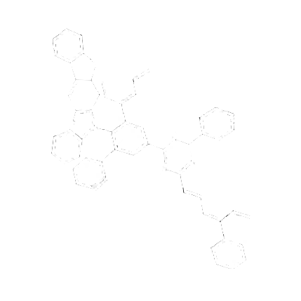 C=C/C=C(\C=C)c1cc(C2=NC(/C=C/C=C(\C=C)c3ccccc3)=NC(c3ccccc3)N2)cc(-c2c#cccc2)c1-n1c2c(c3ccccc31)C=C1c3ccccc3SC1C2